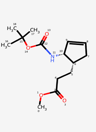 COC(=O)CC[C@H]1CC=C[C@H]1NC(=O)OC(C)(C)C